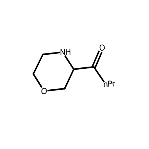 CCCC(=O)C1COCCN1